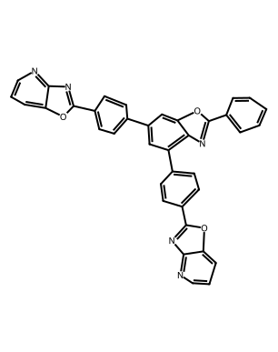 c1ccc(-c2nc3c(-c4ccc(-c5nc6ncccc6o5)cc4)cc(-c4ccc(-c5nc6ncccc6o5)cc4)cc3o2)cc1